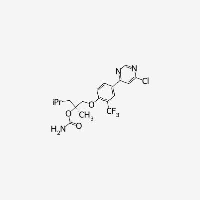 CC(C)C[C@@](C)(COc1ccc(-c2cc(Cl)ncn2)cc1C(F)(F)F)OC(N)=O